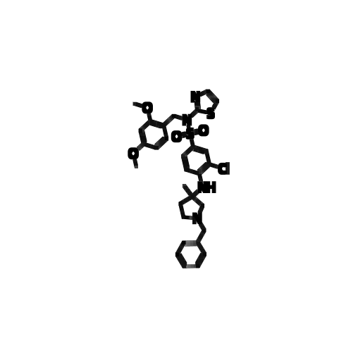 COc1ccc(CN(c2nccs2)S(=O)(=O)c2ccc(NC3(C)CCN(Cc4ccccc4)C3)c(Cl)c2)c(OC)c1